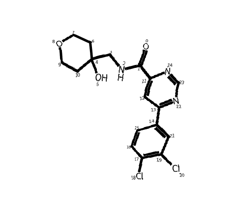 O=C(NCC1(O)CCOCC1)c1cc(-c2ccc(Cl)c(Cl)c2)ncn1